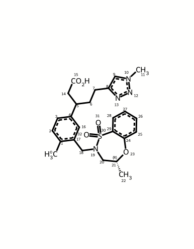 Cc1ccc(C(CCc2cn(C)nn2)CC(=O)O)cc1CN1C[C@@H](C)Oc2ccccc2S1(=O)=O